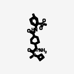 Cc1ccc(NC(=O)C2CCC([C@H](N)C(=O)N(C)C3CCC3)CC2)c(S(C)(=O)=O)c1